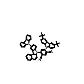 CC(C)(C)c1ccc2c(c1)c1cc(C(C)(C)C)ccc1n2-c1cc(-n2c3ccc(-n4c5ccccc5c5ccccc54)cc3c3c4ccccc4ccc32)c(C#N)cc1C#N